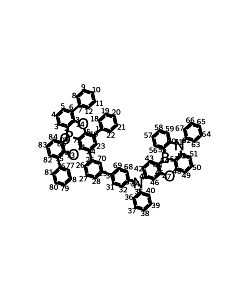 O=P12c3cccc(-c4ccccc4)c3Oc3c(-c4ccccc4)cc(-c4cccc(-c5ccc(N(c6ccccc6)c6ccc7c(c6)Oc6cccc8c6B7c6ccccc6N8c6ccccc6)cc5)c4)c(c31)Oc1c(-c3ccccc3)cccc12